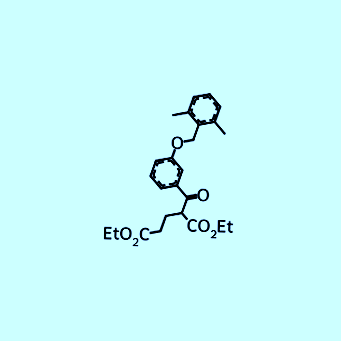 CCOC(=O)CCC(C(=O)OCC)C(=O)c1cccc(OCc2c(C)cccc2C)c1